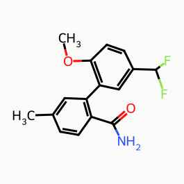 COc1ccc(C(F)F)cc1-c1cc(C)ccc1C(N)=O